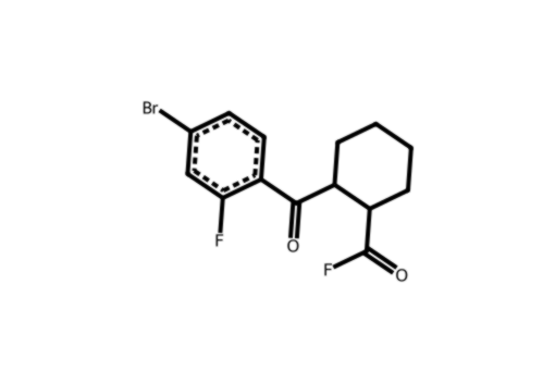 O=C(F)C1CCCCC1C(=O)c1ccc(Br)cc1F